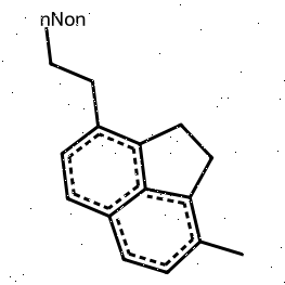 CCCCCCCCCCCc1ccc2ccc(C)c3c2c1CC3